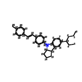 CCCC(CC)c1ccc2c(c1)C1CCCC1N2c1ccc(/C=C/c2ccc(C)cc2)cc1